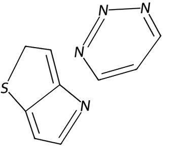 C1=NC2=CCSC2=C1.c1cnnnc1